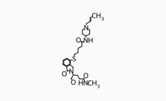 C/C=C/CN1CCC(NC(=O)CCCCSc2cccc3c2CN(C(C=O)CCC(=O)NC)C3=O)CC1